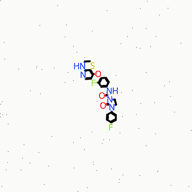 O=C(Nc1ccc(Oc2ccnc3c2SCCN3)c(F)c1)N1CCN(c2ccc(F)cc2)C1=O